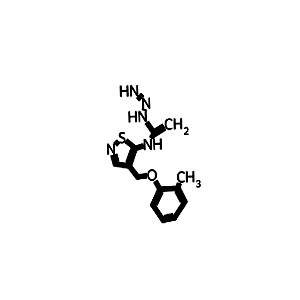 C=C(NN=N)Nc1sncc1COc1ccccc1C